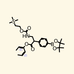 C/C=C\C(=C/C)OC(=O)C(CNC(=O)OCCS(C)(C)C)c1ccc(B2OC(C)(C)C(C)(C)O2)cc1